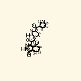 CC(C(=O)N1CCC(C(=O)c2cccnc2)CC1)c1n[nH]c(=O)c2ccccc12